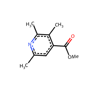 COC(=O)c1cc(C)nc(C)c1C